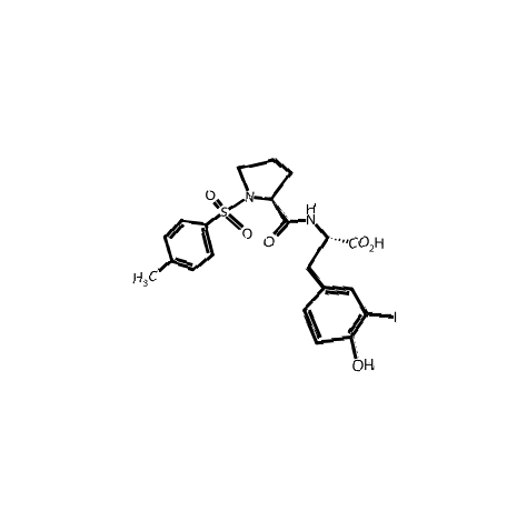 Cc1ccc(S(=O)(=O)N2CCC[C@H]2C(=O)N[C@@H](Cc2ccc(O)c(I)c2)C(=O)O)cc1